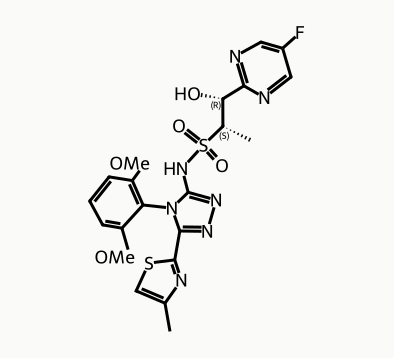 COc1cccc(OC)c1-n1c(NS(=O)(=O)[C@@H](C)[C@H](O)c2ncc(F)cn2)nnc1-c1nc(C)cs1